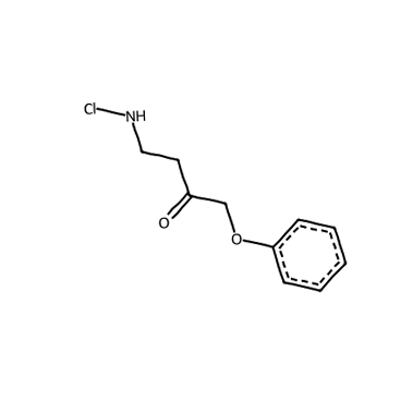 O=C(CCNCl)COc1ccccc1